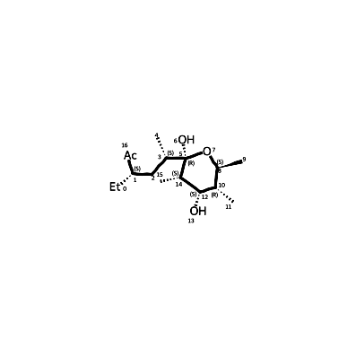 CC[C@@H](C[C@H](C)[C@@]1(O)O[C@@H](C)[C@H](C)[C@H](O)[C@@H]1C)C(C)=O